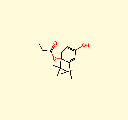 CCC(=O)OC1(C(C)(C)C)CC=C(O)C=C1C(C)(C)C